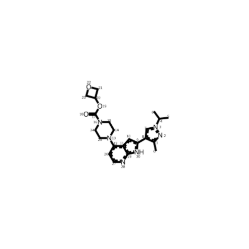 Cc1nn(C(C)C)cc1-c1cc2c(N3CCN(C(=O)OC4COC4)CC3)ccnc2[nH]1